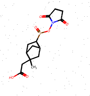 CC1(CC(=O)O)CC2CC1CC2S(=O)ON1C(=O)CCC1=O